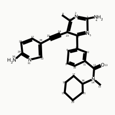 Cc1nc(N)nc(-c2cccc(C(=O)N(C)C3CCCCC3)c2)c1C#Cc1ccc(N)nc1